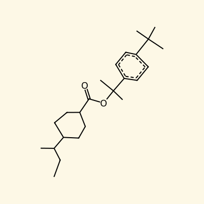 CCC(C)C1CCC(C(=O)OC(C)(C)c2ccc(C(C)(C)C)cc2)CC1